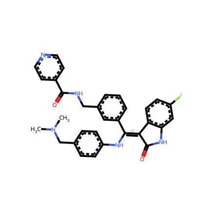 CN(C)Cc1ccc(N/C(=C2\C(=O)Nc3cc(F)ccc32)c2cccc(CNC(=O)c3ccncc3)c2)cc1